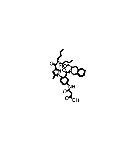 CCCCN(CCCC)C(=O)c1cc(C)n(-c2ccc(NC(=O)CC(=O)O)cc2C(=O)N2Cc3ccccc3C[C@H]2CO)n1